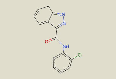 O=C(Nc1ccccc1Cl)C1=NN=C2CC=CC=C21